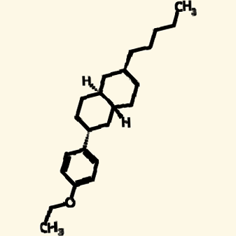 CCCCC[C@H]1CC[C@@H]2C[C@H](c3ccc(OCC)cc3)CC[C@H]2C1